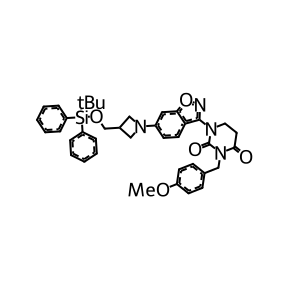 COc1ccc(CN2C(=O)CCN(c3noc4cc(N5CC(CO[Si](c6ccccc6)(c6ccccc6)C(C)(C)C)C5)ccc34)C2=O)cc1